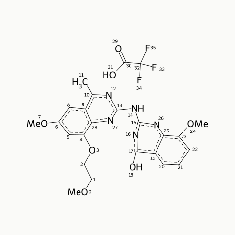 COCCOc1cc(OC)cc2c(C)nc(Nc3nc(O)c4cccc(OC)c4n3)nc12.O=C(O)C(F)(F)F